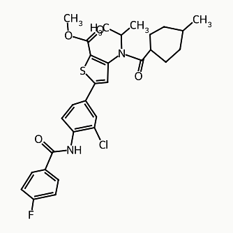 COC(=O)c1sc(-c2ccc(NC(=O)c3ccc(F)cc3)c(Cl)c2)cc1N(C(=O)C1CCC(C)CC1)C(C)C